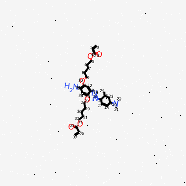 C=CC(=O)OCCCCCOc1cc(/N=N/C2C=CC(N(C)C)CC2C)c(OCCCCCOC(=O)C=C)cc1N